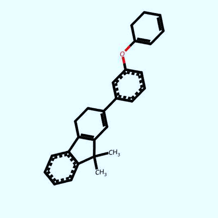 CC1(C)C2=C(CCC(c3cccc(OC4=CC=CCC4)c3)=C2)c2ccccc21